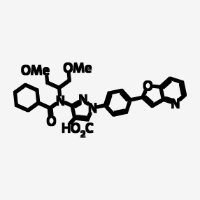 COCC(COC)N(C(=O)C1CCCCC1)c1nn(-c2ccc(-c3cc4ncccc4o3)cc2)cc1C(=O)O